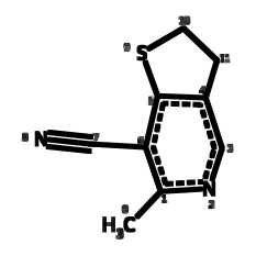 Cc1ncc2c(c1C#N)SCC2